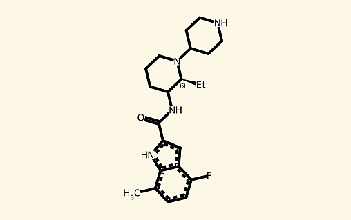 CC[C@H]1C(NC(=O)c2cc3c(F)ccc(C)c3[nH]2)CCCN1C1CCNCC1